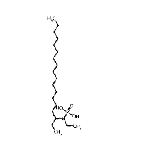 CCCCCCCCCCCCCCCC(CC)N(CC)P(=O)(O)O